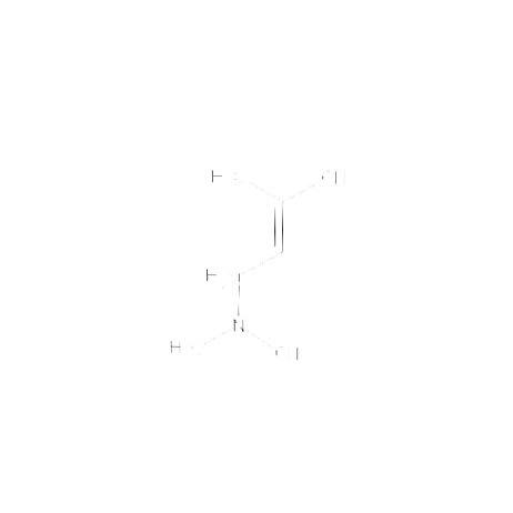 CC(C)=C[SiH2]N(C)C